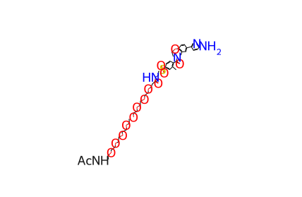 CC(=O)NCCOCCOCCOCCOCCOCCOCCOCCOCCC(=O)NCCS(=O)(=O)c1ccc(C(=O)N2CCOc3ccc(-c4ccc(N)nc4)cc3C2)c(C)c1